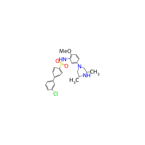 COc1ccc(N2CC(C)NC(C)C2)cc1NS(=O)(=O)c1ccc(-c2cccc(Cl)c2)cc1